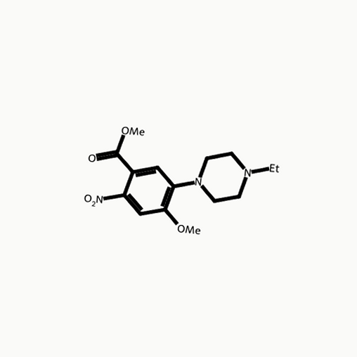 CCN1CCN(c2cc(C(=O)OC)c([N+](=O)[O-])cc2OC)CC1